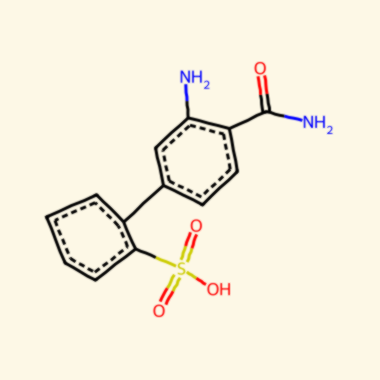 NC(=O)c1ccc(-c2ccccc2S(=O)(=O)O)cc1N